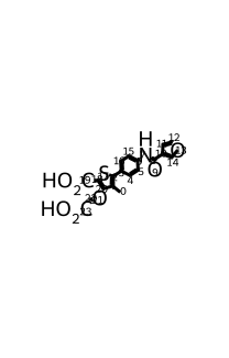 Cc1c(-c2ccc(NC(=O)c3ccoc3)cc2)sc(C(=O)O)c1OCC(=O)O